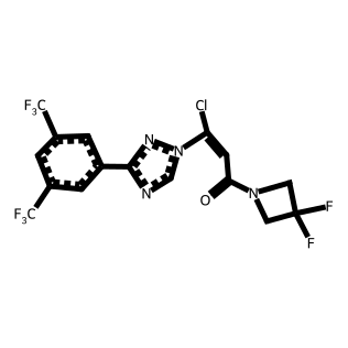 O=C(/C=C(/Cl)n1cnc(-c2cc(C(F)(F)F)cc(C(F)(F)F)c2)n1)N1CC(F)(F)C1